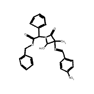 CC(=O)OC1N(C(C(=O)OCc2ccccc2)c2ccccc2)C(=O)C1(C)N=Cc1ccc([N+](=O)[O-])cc1